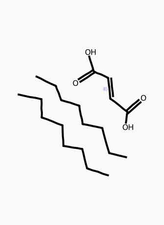 CCCCCCCC.CCCCCCCC.O=C(O)/C=C/C(=O)O